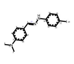 CN(C)c1ccc(/C=N/Nc2ccc(I)cc2)cc1